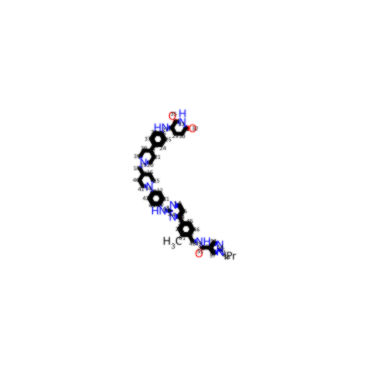 Cc1cc(-c2ccnc(Nc3ccc(N4CCC(CN5CCC(c6ccc(NC7CCC(=O)NC7=O)cc6)CC5)CC4)cc3)n2)ccc1CNC(=O)c1cnn(C(C)C)c1